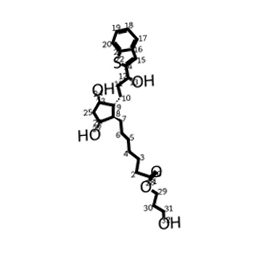 O=C(CCCCCC[C@@H]1[C@@H](CCC(O)c2cc3ccccc3s2)[C@H](O)C[C@@H]1O)OCCCO